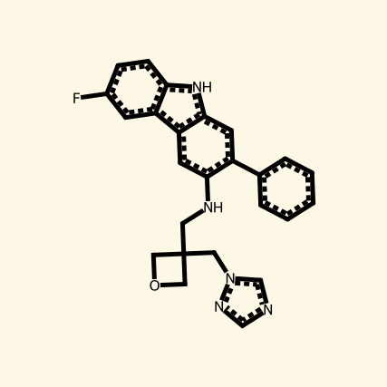 Fc1ccc2[nH]c3cc(-c4ccccc4)c(NCC4(Cn5cncn5)COC4)cc3c2c1